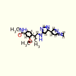 CNC(=O)c1ccc([C@H](C)CNc2cc(-c3ccc(N4CC4)nc3)ncn2)c(OC)c1